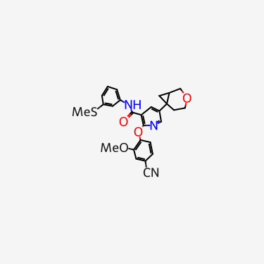 COc1cc(C#N)ccc1Oc1ncc(C23CCOCC2C3)cc1C(=O)Nc1cccc(SC)c1